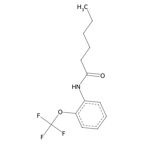 CCCCCC(=O)Nc1ccccc1OC(F)(F)F